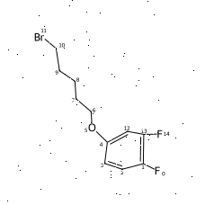 Fc1ccc(OCCCCCBr)cc1F